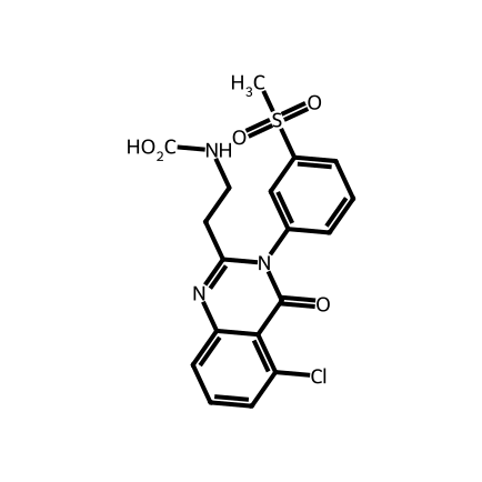 CS(=O)(=O)c1cccc(-n2c(CCNC(=O)O)nc3cccc(Cl)c3c2=O)c1